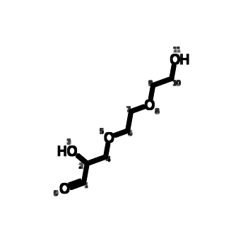 O=CC(O)COCCOCCO